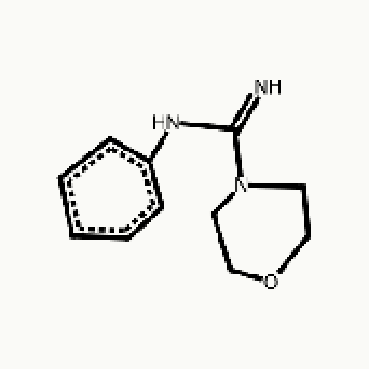 N=C(Nc1ccccc1)N1CCOCC1